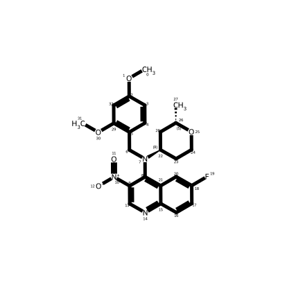 COc1ccc(CN(c2c([N+](=O)[O-])cnc3ccc(F)cc23)[C@@H]2CCO[C@@H](C)C2)c(OC)c1